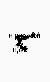 Cc1cc2c(cc1CC(=O)c1sccc1COCN(c1onc(C)c1Cl)C(C)OC(=O)OCCOCCON(O)O)OCO2